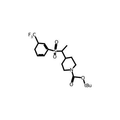 CC(C1CCN(C(=O)OC(C)(C)C)CC1)S(=O)(=O)C1=CC(C(F)(F)F)CC=C1